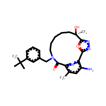 CC(C)(c1cccc(CN2CCCCC[C@](O)(C(F)(F)F)c3nnc(o3)-c3nc(c(C(F)(F)F)cc3N)C2=O)c1)C(F)(F)F